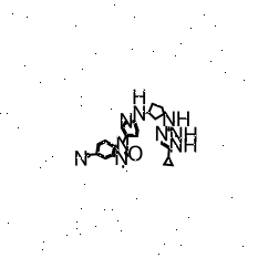 Cn1c(=O)n(-c2ccc(N[C@H]3CC[C@H](NC4=NC=C(C5CC5)NN4)C3)nc2)c2ccc(C#N)cc21